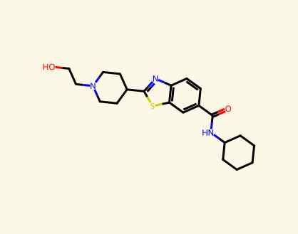 O=C(NC1CCCCC1)c1ccc2nc(C3CCN(CCO)CC3)sc2c1